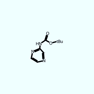 CC(C)(C)OC(=O)Nc1[c]nccn1